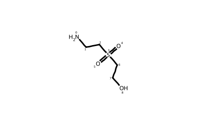 NCCS(=O)(=O)CCO